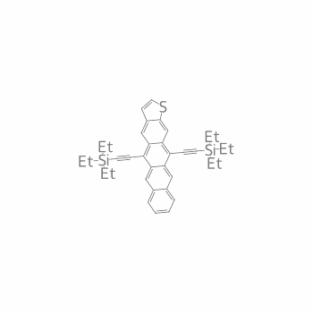 CC[Si](C#Cc1c2cc3ccccc3cc2c(C#C[Si](CC)(CC)CC)c2cc3sccc3cc12)(CC)CC